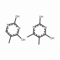 Cc1cnc(O)nc1O.Cc1nc(O)nc(O)c1C